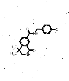 CC1(C)CNC(=O)c2cc(C(=O)NCc3ccc(Cl)cc3)ccc21